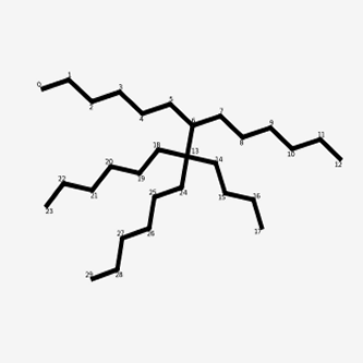 CCCCCC[C](CCCCCC)C(CCCC)(CCCCCC)CCCCCC